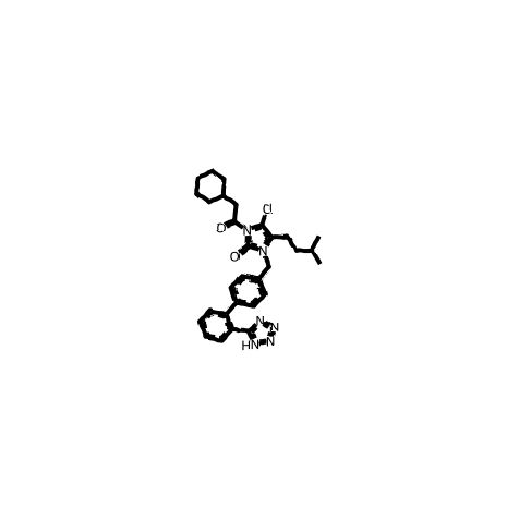 CC(C)CCc1c(Cl)n(C(=O)CC2CCCCC2)c(=O)n1Cc1ccc(-c2ccccc2-c2nnn[nH]2)cc1